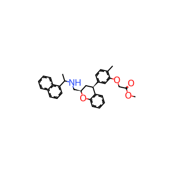 COC(=O)COc1cc([C@@H]2C[C@H](CNC(C)c3cccc4ccccc34)Oc3ccccc32)ccc1C